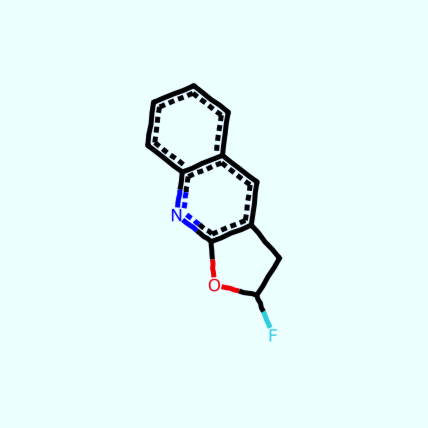 FC1Cc2cc3ccccc3nc2O1